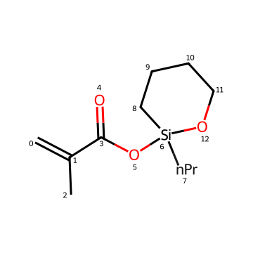 C=C(C)C(=O)O[Si]1(CCC)CCCCO1